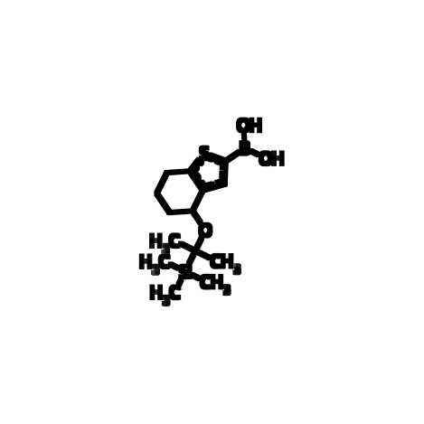 CC(C)(OC1CCCc2sc(B(O)O)cc21)[Si](C)(C)C